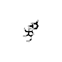 O=c1ccn([C@@H]2O[C@H](CO)C(O)[C@]2(O)CF)c(=O)[nH]1